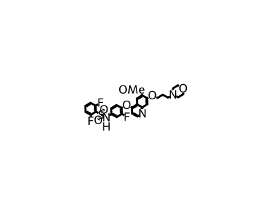 COc1cc2c(Oc3ccc(NS(=O)(=O)c4c(F)cccc4F)cc3F)ccnc2cc1OCCCN1CCOCC1